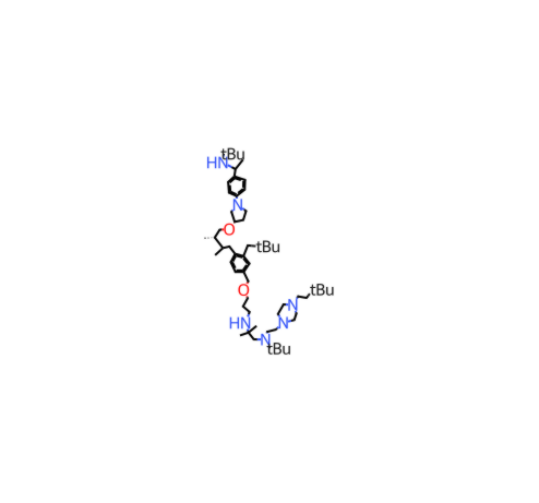 CC(NC(C)(C)C)c1ccc(N2CC[C@H](OC[C@@H](C)C(C)Cc3ccc(COCCCNC(C)(C)CN(CCN4CCN(CCC(C)(C)C)CC4)C(C)(C)C)cc3CC(C)(C)C)C2)cc1